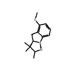 COc1cccc2c1CC1N2OC(C)C1(C)C